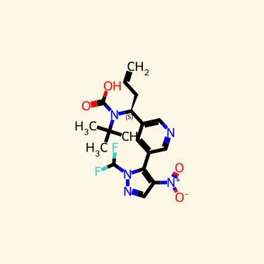 C=CC[C@@H](c1cncc(-c2c([N+](=O)[O-])cnn2C(F)F)c1)N(C(=O)O)C(C)(C)C